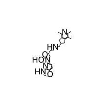 Cc1nc(C)c2c(c1C)CC(CNCCC1CN(c3ccc4c(n3)NCCO4)C(O)O1)C2